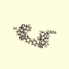 COO/C=N\[C@@H](C(=O)N1CCC[C@H]1c1ncc(-c2ccc(-c3ccc(-c4cnc([C@@H]5CCCN5C(=O)[C@@H](c5ccccc5)N(C)C)[nH]4)cc3)cc2)[nH]1)c1ccccc1Cl